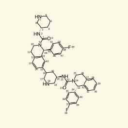 O=C(N[C@H]1CCCNC1)N1CCc2ccc(C3CNC[C@H](NC(=O)N4CCc5ccccc5[C@@H]4c4ccc(F)cc4)C3)cc2[C@@H]1c1ccc(F)cc1